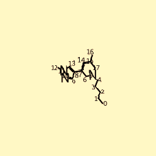 CCCCCN1CC(c2cnn(C)c2)=CC(C)C1